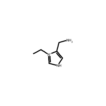 CC[n+]1c[nH]cc1CN